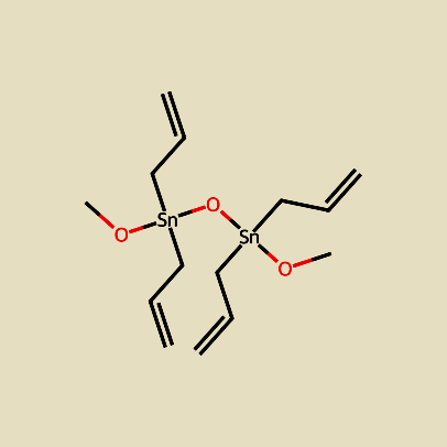 C=C[CH2][Sn]([CH2]C=C)([O]C)[O][Sn]([CH2]C=C)([CH2]C=C)[O]C